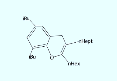 CCCCCCCC1=C(CCCCCC)Oc2c(cc(C(C)CC)cc2C(C)CC)C1